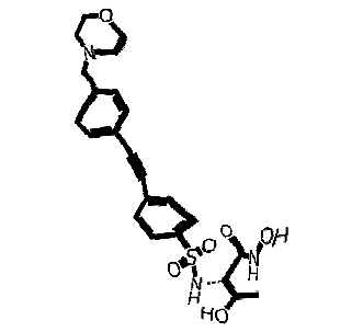 CC(O)[C@H](NS(=O)(=O)c1ccc(C#Cc2ccc(CN3CCOCC3)cc2)cc1)C(=O)NO